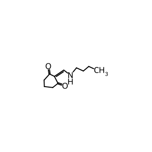 CCCCNC=C1C(=O)CCCC1=O